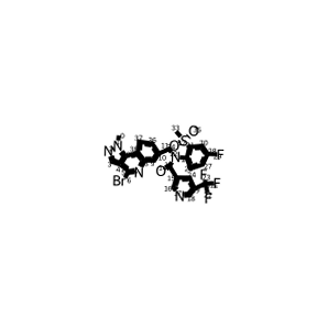 Cn1ncc2c(Br)nc3cc(CN(C(=O)c4cncc(C(F)(F)F)c4)c4ccc(F)cc4S(C)(=O)=O)ccc3c21